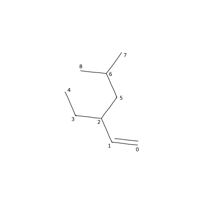 C=CC(CC)CC(C)C